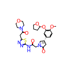 COc1ccc([C@@H]2CC(=O)N(CC(=O)Nc3nnc(CC(=O)N4CCOCC4)s3)C2)cc1OC1CCCO1